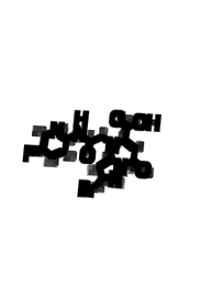 O=C(Cn1c(C(=O)O)cc(=O)n2nc(Br)cc12)Nc1ccc(F)cn1